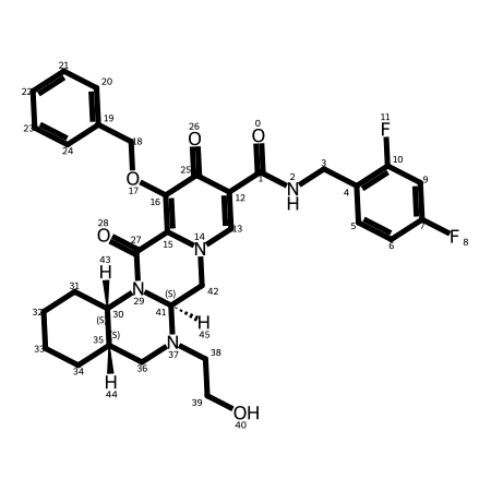 O=C(NCc1ccc(F)cc1F)c1cn2c(c(OCc3ccccc3)c1=O)C(=O)N1[C@H]3CCCC[C@H]3CN(CCO)[C@@H]1C2